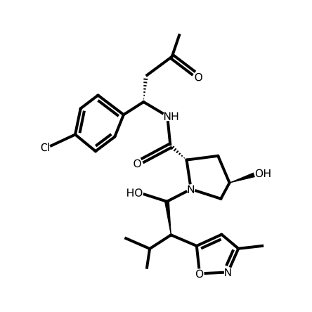 CC(=O)C[C@H](NC(=O)[C@@H]1C[C@@H](O)CN1C(O)[C@@H](c1cc(C)no1)C(C)C)c1ccc(Cl)cc1